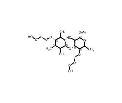 CO[C@@H]1OC(C)[C@@H](OSOOO)[C@H](O[C@@H]2OC(C)[C@@H](OSOOO)[C@H](C)C2O)C1O